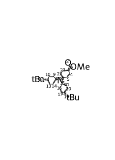 COC(=O)c1ccc(N(c2ccc(C(C)(C)C)cc2)c2ccc(C(C)(C)C)cc2)cc1